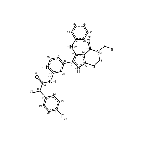 CCN1CCc2[nH]c(-c3ccnc(NC(=O)C(C)c4ccc(F)cc4)c3)c(Nc3ccccc3)c2C1=O